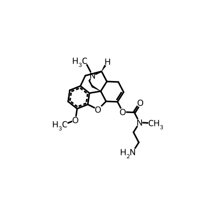 COc1ccc2c3c1OC1C(OC(=O)N(C)CCN)=CCC4[C@@H](C2)N(C)CC[C@]314